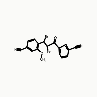 COc1cc(C#N)ccc1C(Br)C(Br)C(=O)c1cccc(C#N)c1